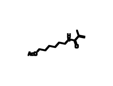 C=C(C)C(=O)BCCCCCCOC(C)=O